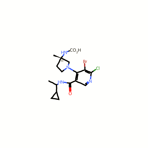 CC(NC(=O)c1cnc(Cl)c(Br)c1N1CC[C@](C)(NC(=O)O)C1)C1CC1